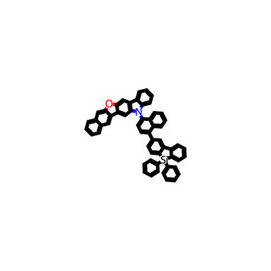 c1ccc([Si]2(c3ccccc3)c3ccccc3-c3cc(-c4ccc(-n5c6ccccc6c6cc7oc8cc9ccccc9cc8c7cc65)c5ccccc45)ccc32)cc1